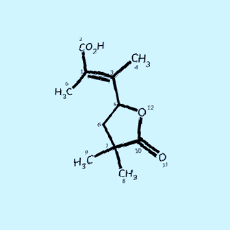 CC(C(=O)O)=C(C)C1CC(C)(C)C(=O)O1